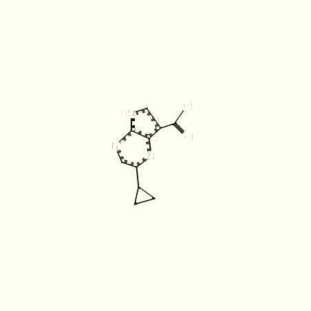 C=C(C)c1c[nH]c2ncc(C3CC3)nc12